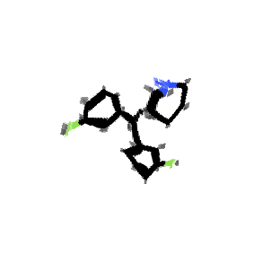 Fc1cccc(C(c2cccc(F)c2)[C@H]2CCCNC2)c1